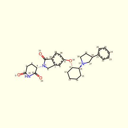 O=C1CC[C@H](N2Cc3cc(O[C@H]4CCCC[C@@H]4N4CCC(c5ccccc5)C4)ccc3C2=O)C(=O)N1